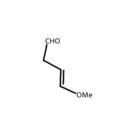 COC=CCC=O